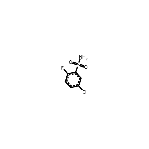 NS(=O)(=O)c1cc(Cl)ccc1F